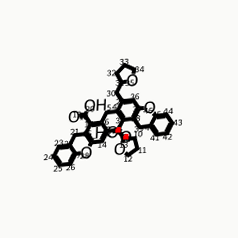 O=C(O)c1c(Cc2c(CC3CCCO3)cc3c(c2C(=O)O)Cc2ccccc2O3)c(CC2CCCO2)cc2c1Cc1ccccc1O2